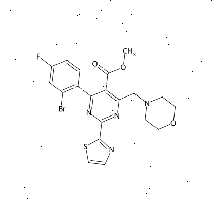 COC(=O)c1c(CN2CCOCC2)nc(-c2nccs2)nc1-c1ccc(F)cc1Br